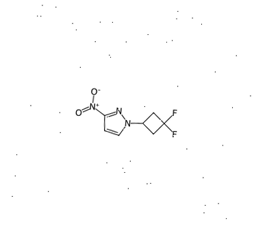 O=[N+]([O-])c1ccn(C2CC(F)(F)C2)n1